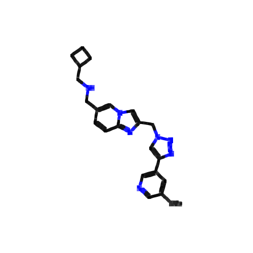 CNc1cncc(-c2cn(Cc3cn4cc(CNCC5CCC5)ccc4n3)nn2)c1